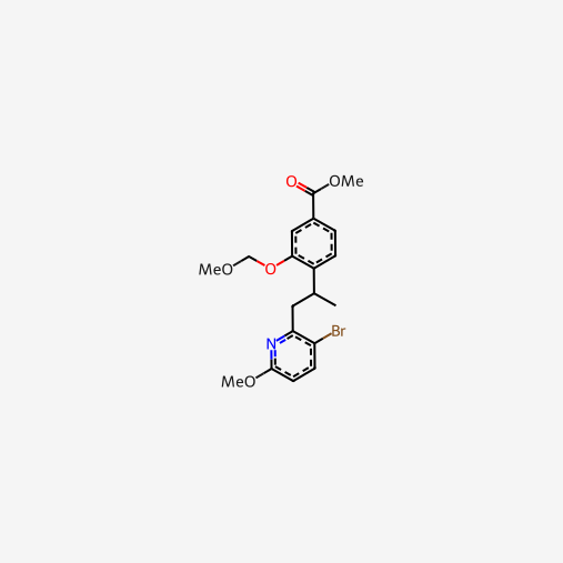 COCOc1cc(C(=O)OC)ccc1C(C)Cc1nc(OC)ccc1Br